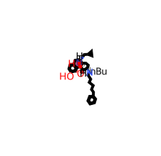 CCCCN(CCCCCCc1ccccc1)[C@@H]1CC[C@@]2(O)[C@H]3Cc4ccc(O)c5c4[C@@]2(CCN3CC2CC2)[C@H]1O5